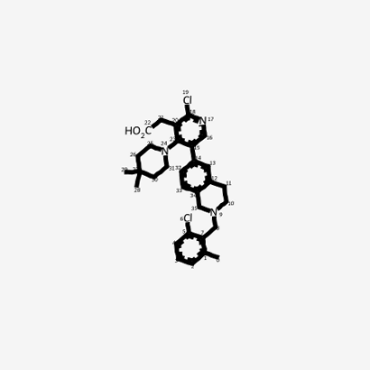 Cc1cccc(Cl)c1CN1CCc2cc(-c3cnc(Cl)c(CC(=O)O)c3N3CCC(C)(C)CC3)ccc2C1